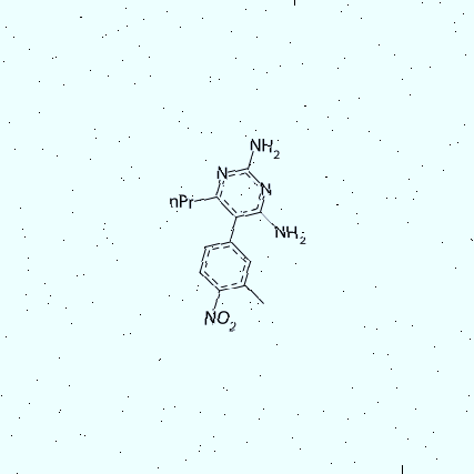 CCCc1nc(N)nc(N)c1-c1ccc([N+](=O)[O-])c(C)c1